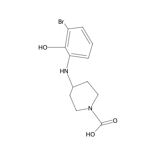 O=C(O)N1CCC(Nc2cccc(Br)c2O)CC1